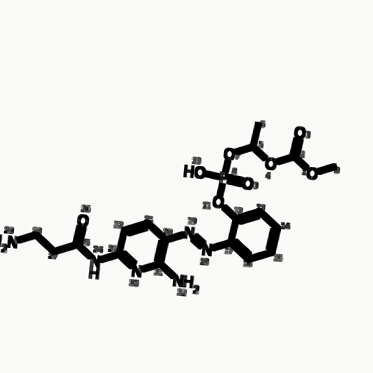 COC(=O)OC(C)OP(=O)(O)Oc1ccccc1/N=N/c1ccc(NC(=O)CCN)nc1N